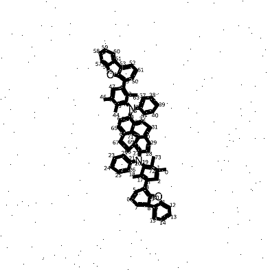 Cc1cc(-c2cccc3c2oc2ccccc23)c(C)c(N(c2ccccc2)c2ccc3ccc4c(N(c5ccccc5)c5c(C)c(C)cc(-c6cccc7c6oc6ccccc67)c5C)ccc5ccc2c3c54)c1C